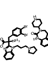 NC(Cc1ccc(Br)c(Br)c1)(C(=O)O)c1nc2ccccc2n1CCCN1CCCC1.O=C1Nc2ccccc2CCN1C1CCNCC1